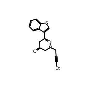 CCC#CCN1CC(=O)CC(c2csc3ccccc23)=N1